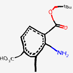 Cc1c(C(=O)O)ccc(C(=O)OC(C)(C)C)c1N